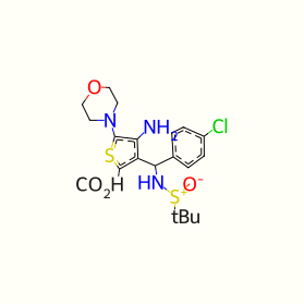 CC(C)(C)[S+]([O-])NC(c1ccc(Cl)cc1)c1c(C(=O)O)sc(N2CCOCC2)c1N